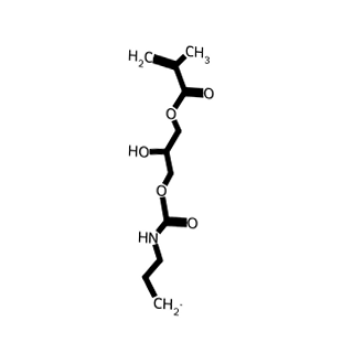 [CH2]CCNC(=O)OCC(O)COC(=O)C(=C)C